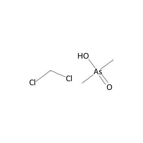 C[As](C)(=O)O.ClCCl